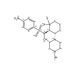 CC(C)N1CCN([C@H]2CCCC(F)(F)[C@@H]2N(C)S(=O)(=O)c2ccc([N+](=O)[O-])cc2)CC1